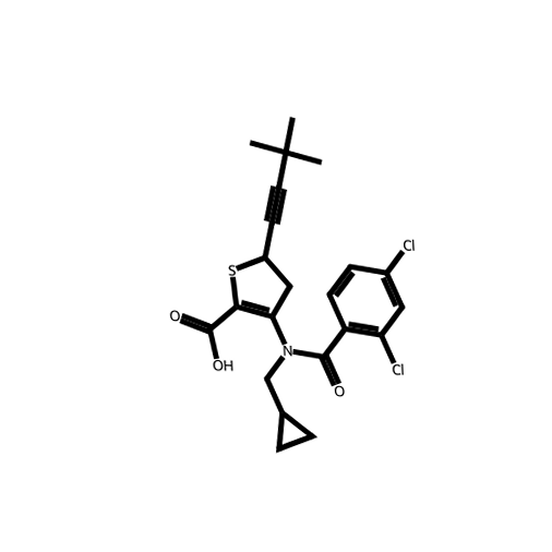 CC(C)(C)C#CC1CC(N(CC2CC2)C(=O)c2ccc(Cl)cc2Cl)=C(C(=O)O)S1